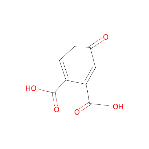 O=C1C=C(C(=O)O)C(C(=O)O)=CC1